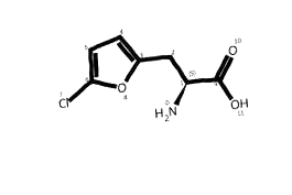 N[C@@H](Cc1ccc(Cl)o1)C(=O)O